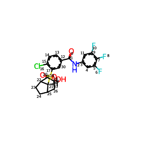 O=C(Nc1cc(F)c(F)c(F)c1)c1ccc(Cl)c(S(=O)(=O)[C@H]2C3CCC2C[C@@H](O)C3)c1